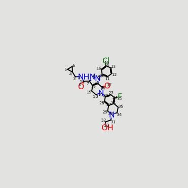 O=C(NCC1CC1)c1nn(-c2cccc(Cl)c2)c2c1CCN(c1cc(F)c3c(c1)CN(CCO)CC3)C2=O